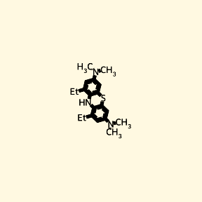 CCc1cc(N(C)C)cc2c1Nc1c(CC)cc(N(C)C)cc1S2